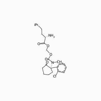 CC(C)CC[C@H](N)C(=O)OCOC(=O)N(C)[C@]1(c2ccccc2Cl)CCCCC1=O